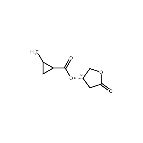 CC1CC1C(=O)O[C@@H]1COC(=O)C1